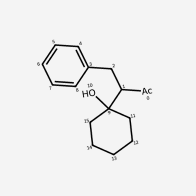 CC(=O)C(Cc1ccccc1)C1(O)CCCCC1